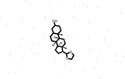 C[C@]12CCC(O)CC1CC[C@@H]1[C@H]2CC[C@]2(C)C(C3OCCO3)CC[C@@H]12